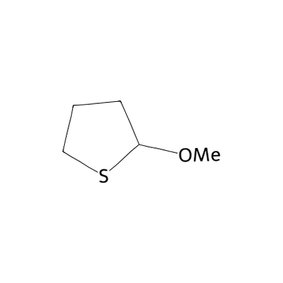 COC1CCCS1